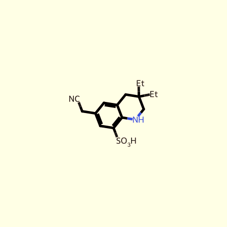 CCC1(CC)CNc2c(cc(CC#N)cc2S(=O)(=O)O)C1